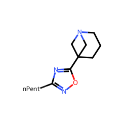 CCCCCc1noc(C23CCCN(C2)C3)n1